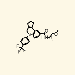 COC[C@H](C)NC(=O)c1ccc2c(c1)C1=C(CCC1)CN2c1ccc(C(F)(F)F)cc1